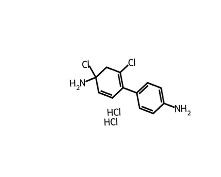 Cl.Cl.Nc1ccc(C2=C(Cl)CC(N)(Cl)C=C2)cc1